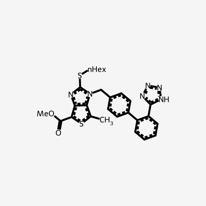 CCCCCCSc1nc2c(C(=O)OC)sc(C)c2n1Cc1ccc(-c2ccccc2-c2nnn[nH]2)cc1